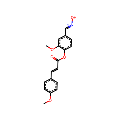 COc1ccc(C=CC(=O)Oc2ccc(/C=N/O)cc2OC)cc1